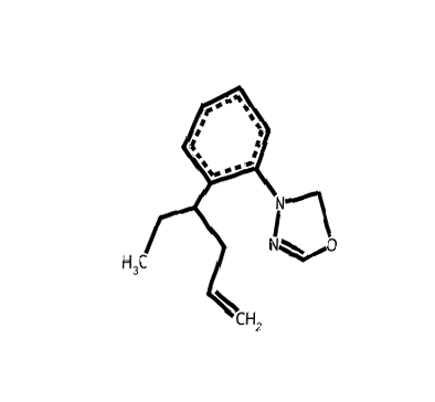 C=CCC(CC)c1ccccc1N1COC=N1